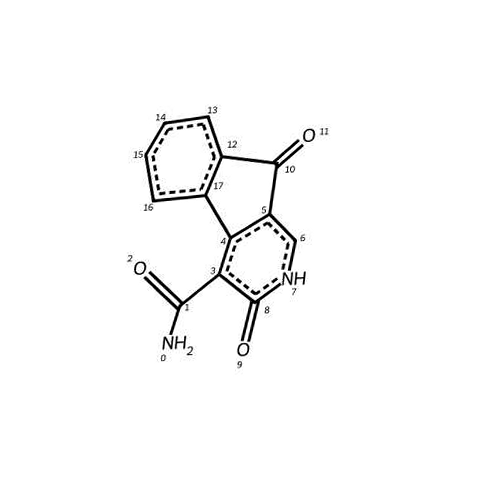 NC(=O)c1c2c(c[nH]c1=O)C(=O)c1ccccc1-2